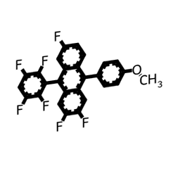 COc1ccc(-c2c3ccc(F)cc3c(-c3c(F)c(F)cc(F)c3F)c3cc(F)c(F)cc23)cc1